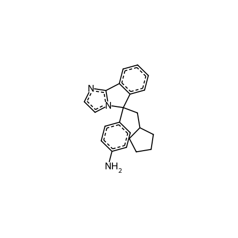 Nc1ccc(C2(CC3CCCC3)c3ccccc3-c3nccn32)cc1